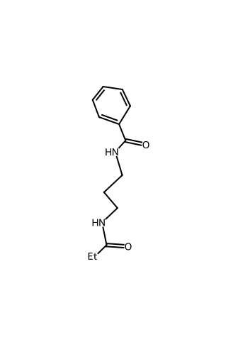 CCC(=O)NCCCNC(=O)c1ccccc1